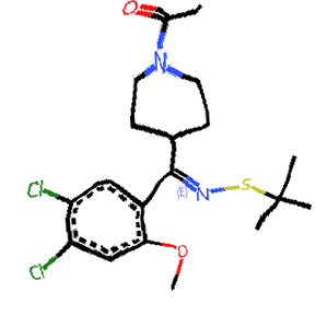 COc1cc(Cl)c(Cl)cc1/C(=N/SC(C)(C)C)C1CCN(C(C)=O)CC1